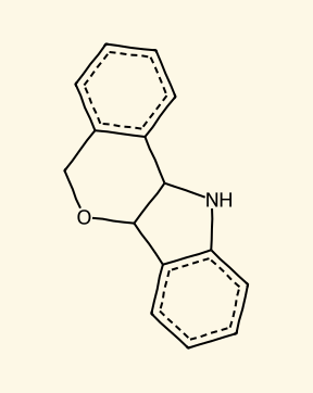 c1ccc2c(c1)COC1c3ccccc3NC21